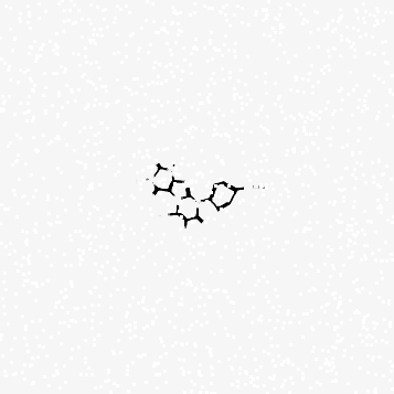 CSc1ccc(-n2c(=O)c(C)c(O)n3c4c(=O)n(C)c(=O)n(C)c4nc23)cc1